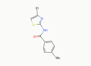 CCc1csc(NC(=O)c2ccc(C(C)(C)C)cc2)n1